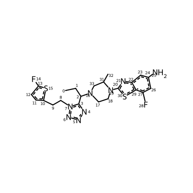 CCC(c1nnnn1CCc1ccc(F)s1)N1CCN(c2nc3cc(N)cc(F)c3s2)C(C)C1